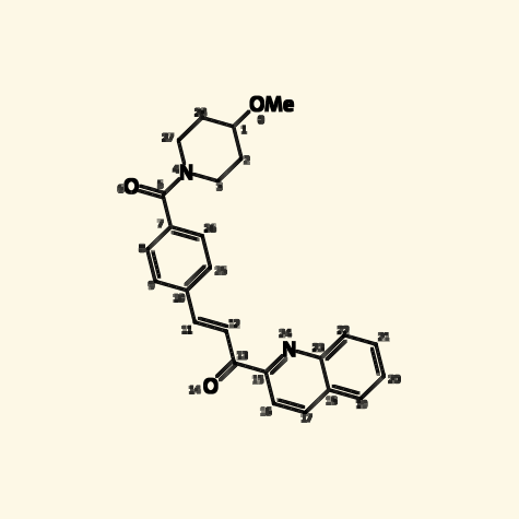 COC1CCN(C(=O)c2ccc(C=CC(=O)c3ccc4ccccc4n3)cc2)CC1